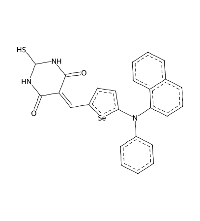 O=C1NC(S)NC(=O)C1=Cc1ccc(N(c2ccccc2)c2cccc3ccccc23)[se]1